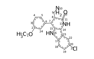 COc1cccc(-c2c(CN)c(=O)[nH]c3c2[nH]c2ccc(Cl)cc23)c1